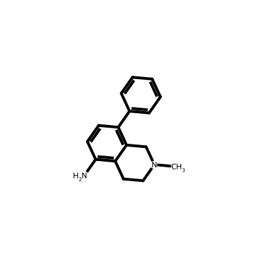 CN1CCc2c(N)ccc(-c3ccccc3)c2C1